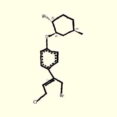 CC(C)[C@@H]1CC[C@@H](C)C[C@H]1Oc1ccc(/C(=C/CCl)CBr)cc1